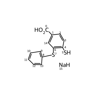 O=C(O)c1ccc(S)c(Sc2ccccc2)c1.[NaH]